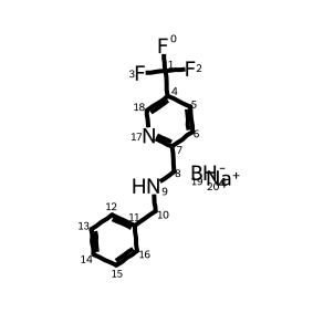 FC(F)(F)c1ccc(CNCc2ccccc2)nc1.[BH4-].[Na+]